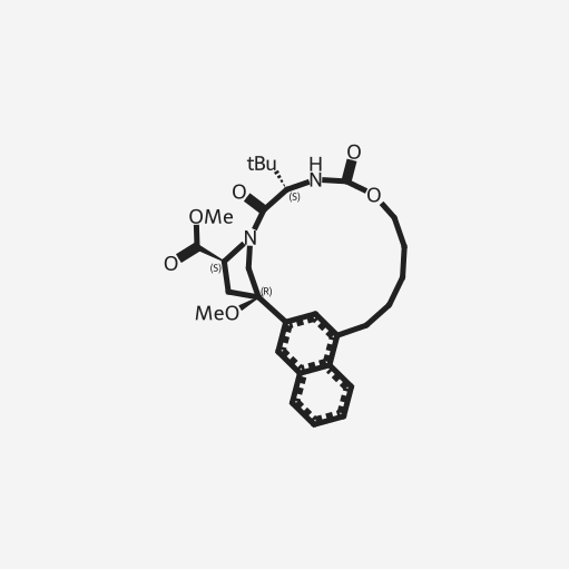 COC(=O)[C@@H]1C[C@]2(OC)CN1C(=O)[C@H](C(C)(C)C)NC(=O)OCCCCCc1cc2cc2ccccc12